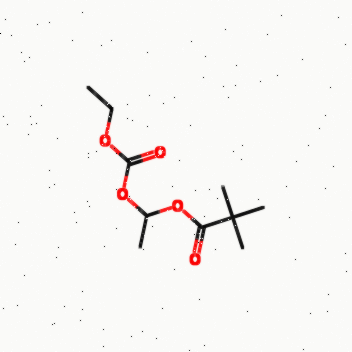 CCOC(=O)OC(C)OC(=O)C(C)(C)C